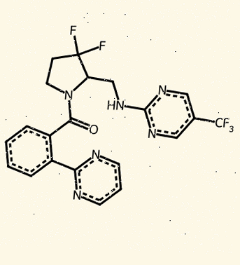 O=C(c1ccccc1-c1ncccn1)N1CCC(F)(F)C1CNc1ncc(C(F)(F)F)cn1